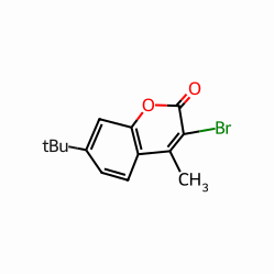 Cc1c(Br)c(=O)oc2cc(C(C)(C)C)ccc12